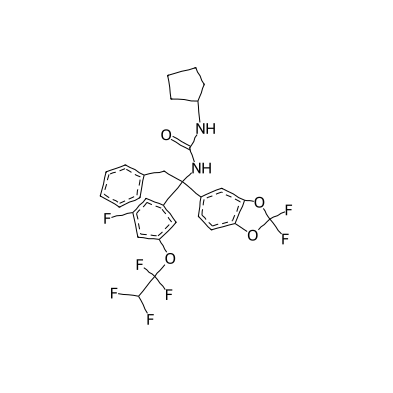 O=C(NC1CCCC1)NC(Cc1ccccc1)(c1cc(F)cc(OC(F)(F)C(F)F)c1)c1ccc2c(c1)OC(F)(F)O2